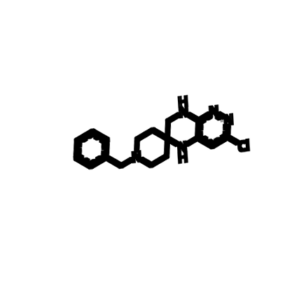 Clc1cc2c(nn1)NCC1(CCN(Cc3ccccc3)CC1)N2